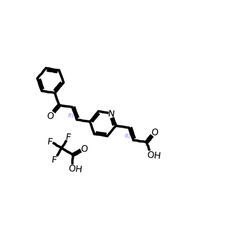 O=C(O)/C=C/c1ccc(/C=C/C(=O)c2ccccc2)cn1.O=C(O)C(F)(F)F